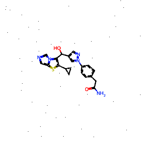 NC(=O)Cc1ccc(-n2cc(C(O)c3c(C4CC4)sc4cncn34)cn2)cc1